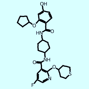 O=C(NC1CCC(NC(=O)c2cc(F)cnc2OC2CCSCC2)CC1)c1ccc(O)cc1OC1CCCC1